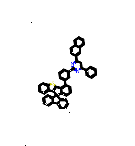 c1ccc(-c2cc(-c3ccc4ccccc4c3)nc(-c3cccc(-c4cccc5c4-c4sc6ccccc6c4C54c5ccccc5-c5ccccc54)c3)n2)cc1